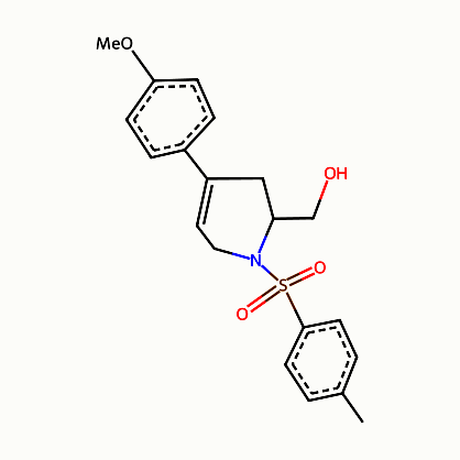 COc1ccc(C2=CCN(S(=O)(=O)c3ccc(C)cc3)C(CO)C2)cc1